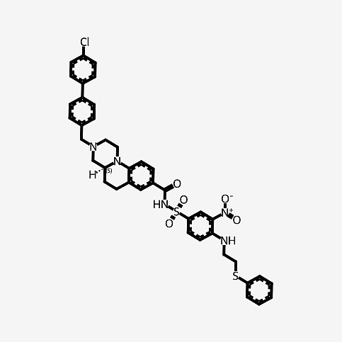 O=C(NS(=O)(=O)c1ccc(NCCSc2ccccc2)c([N+](=O)[O-])c1)c1ccc2c(c1)CC[C@H]1CN(Cc3ccc(-c4ccc(Cl)cc4)cc3)CCN21